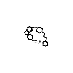 O=C(O)C1CCC2(CCc3ccc(CN4CCN(CCCc5ccccc5)CC4)cc32)CC1